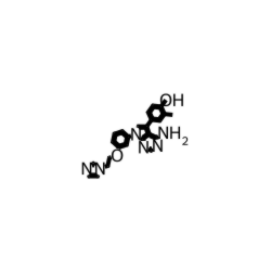 Cc1cc(-c2cn(-c3cccc(OCCn4ccnc4)c3)c3ncnc(N)c23)ccc1O